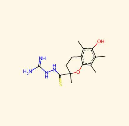 Cc1c(C)c2c(c(C)c1O)CCC(C)(C(=S)NNC(=N)N)O2